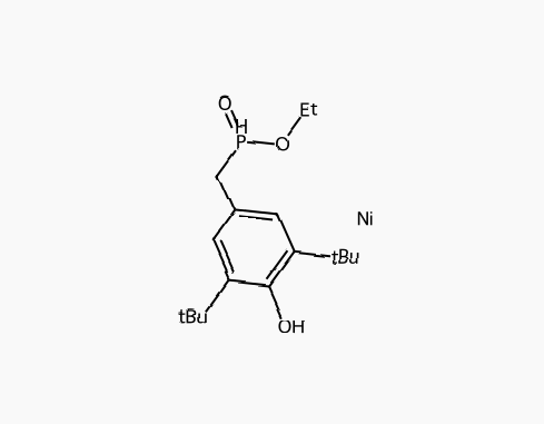 CCO[PH](=O)Cc1cc(C(C)(C)C)c(O)c(C(C)(C)C)c1.[Ni]